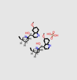 C=C[C@H]1C[N@]2CC[C@H]1C[C@H]2[C@H](O)c1ccnc2ccc(OC)cc12.C=C[C@H]1C[N@]2CC[C@H]1C[C@H]2[C@H](O)c1ccnc2ccc(OC)cc12.O=S(=O)(O)O